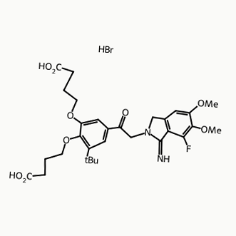 Br.COc1cc2c(c(F)c1OC)C(=N)N(CC(=O)c1cc(OCCCC(=O)O)c(OCCCC(=O)O)c(C(C)(C)C)c1)C2